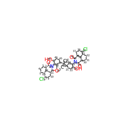 O=C1c2cccc3c(Cl)ccc(c23)C(=O)N1c1cc(C(c2ccc(O)c(N3C(=O)c4cccc5c(Cl)ccc(c45)C3=O)c2)(C(F)(F)F)C(F)(F)F)ccc1O